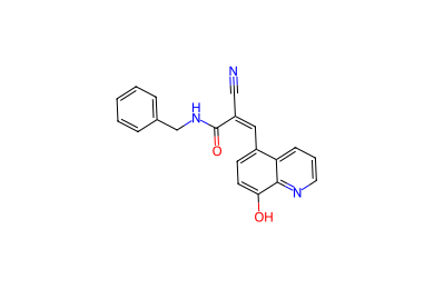 N#CC(=Cc1ccc(O)c2ncccc12)C(=O)NCc1ccccc1